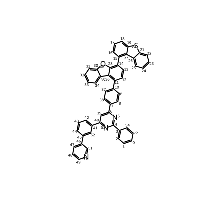 c1ccc(-c2nc(-c3ccc(-c4ccc(-c5cccc6sc7ccccc7c56)c5oc6ccccc6c45)cc3)cc(-c3cccc(-c4cccnc4)c3)n2)cc1